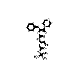 CC(C)(C)OC(=O)C[C@@H](CO)NC(=O)O[C@@H](CC1CCCCC1)C(=O)N1CCOCC1